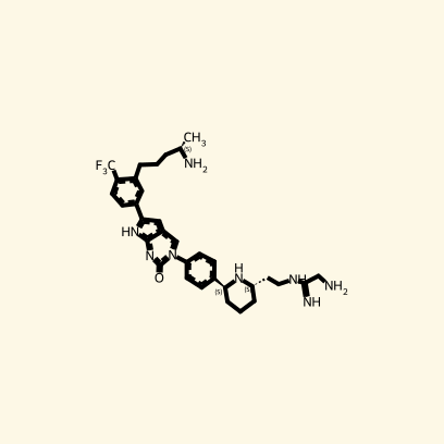 C[C@H](N)CCCc1cc(-c2cc3cn(-c4ccc([C@@H]5CCC[C@@H](CCNC(=N)CN)N5)cc4)c(=O)nc3[nH]2)ccc1C(F)(F)F